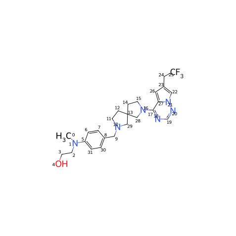 CN(CCO)c1ccc(CN2CCC3(CCN(c4ncnn5cc(CC(F)(F)F)cc45)C3)C2)cc1